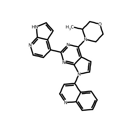 CC1COCCN1c1nc(-c2ccnc3[nH]ccc23)nc2c1ccn2-c1ccnc2ccccc12